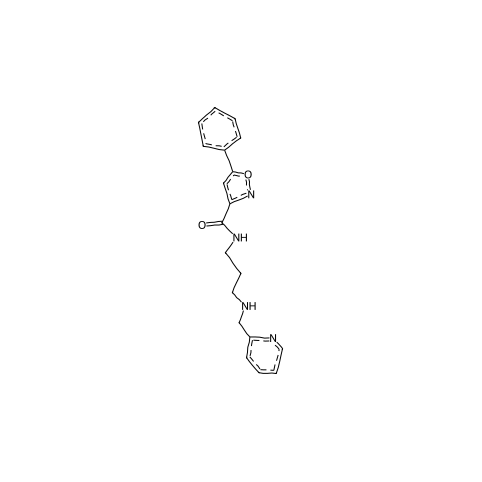 O=C(NCCCNCc1ccccn1)c1cc(-c2ccccc2)on1